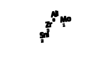 [Al].[Mo].[Sn].[Zr]